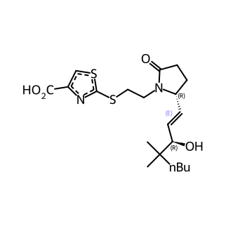 CCCCC(C)(C)[C@H](O)/C=C/[C@H]1CCC(=O)N1CCSc1nc(C(=O)O)cs1